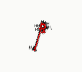 CCC(=O)N[C@H](C(=O)NCC(=O)N[C@@H]1C[S+]([O-])c2[nH]c3c(CSCCOCCOCCOCCOCCOCCOCCOCCOCCOCCN(N)/C=C(\N)CN4C(=O)CCC4=O)c(O)ccc3c2C[C@@H](C(N)=O)NC(=O)[C@H]([C@@H](C)[C@@H](O)CO)NC(=O)[C@@H]2C[C@@H](O)CN2C(=O)[C@H](CC(N)=O)NC1=O)[C@@H](C)CC